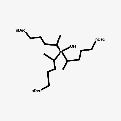 CCCCCCCCCCCCCC(C)[Si](O)(C(C)CCCCCCCCCCCCC)C(C)CCCCCCCCCCCCC